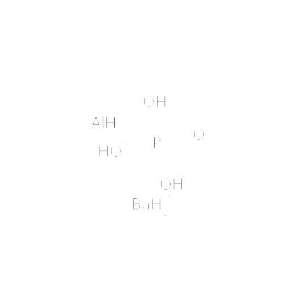 O=P(O)(O)O.[AlH3].[BaH2]